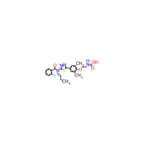 CCCCN(C(=O)c1ccccc1F)c1nnc(-c2cc(C)c(OCCNC(=O)O)c(C)c2)s1